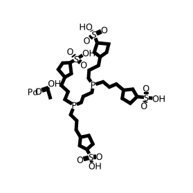 CC(=O)O.O=S(=O)(O)C1CCC(CCCP(CCCC2CCC(S(=O)(=O)O)C2)CCCP(CCCC2CCC(S(=O)(=O)O)C2)CCCC2CCC(S(=O)(=O)O)C2)C1.[Pd]